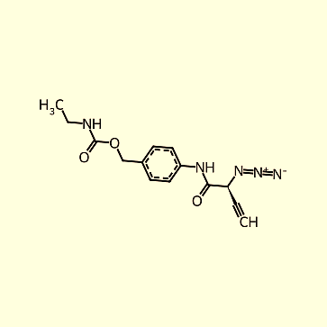 C#C[C@H](N=[N+]=[N-])C(=O)Nc1ccc(COC(=O)NCC)cc1